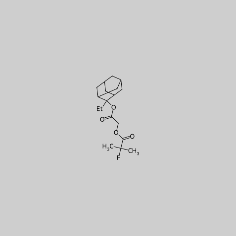 CCC1(OC(=O)COC(=O)C(C)(C)F)C2CC3CC(C2)CC1C3